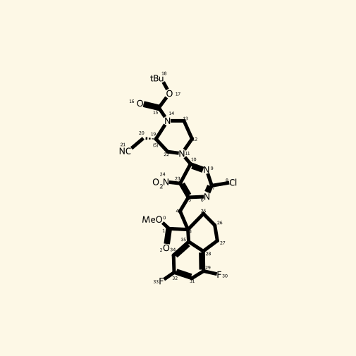 COC(=O)C1(Cc2nc(Cl)nc(N3CCN(C(=O)OC(C)(C)C)[C@@H](CC#N)C3)c2[N+](=O)[O-])CCCc2c(F)cc(F)cc21